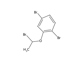 CC(Br)Oc1cc(Br)ccc1Br